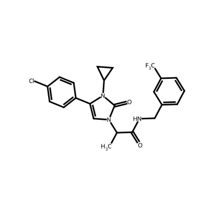 CC(C(=O)NCc1cccc(C(F)(F)F)c1)n1cc(-c2ccc(Cl)cc2)n(C2CC2)c1=O